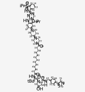 Cc1cc(Nc2ncnc(Nc3ccccc3S(=O)(=O)C(C)C)n2)c(OC(C)C)cc1N1CCC(N2CCN(C(=O)CCCCCCCCCCCC(=O)NC(C(=O)N3C[C@H](O)C[C@H]3C(=O)NCc3ccc(-c4scnc4C)cc3)C(C)(C)C)CC2)CC1